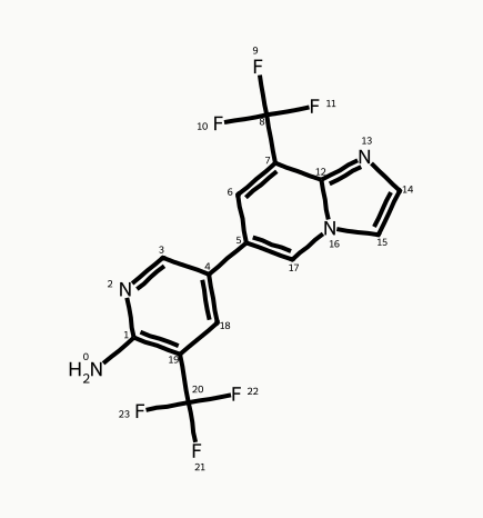 Nc1ncc(-c2cc(C(F)(F)F)c3nccn3c2)cc1C(F)(F)F